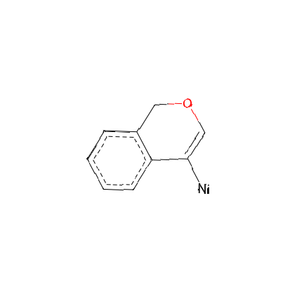 [Ni][C]1=COCc2ccccc21